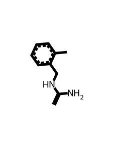 C=C(N)NCc1ccccc1C